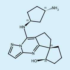 N[C@H]1CC[C@H](Nc2c3c(nc4ccnn24)[C@]2(CCC[C@H]2O)CC3)C1